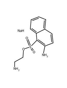 NCCOS(=O)(=O)c1c(N)ccc2ccccc12.[NaH]